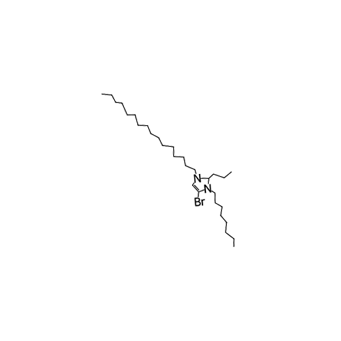 CCCCCCCCCCCCCCCCN1C=C(Br)N(CCCCCCCC)C1CCC